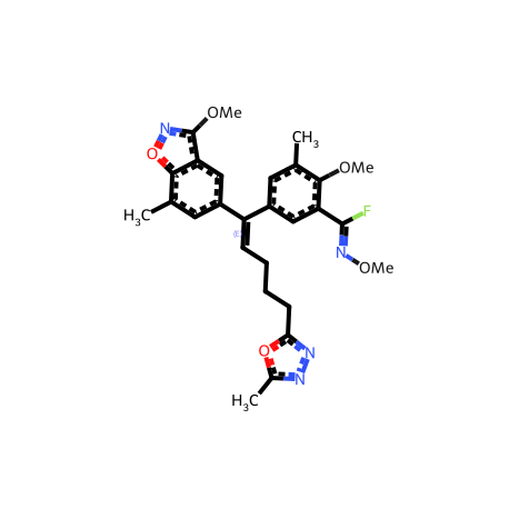 CON=C(F)c1cc(/C(=C\CCCc2nnc(C)o2)c2cc(C)c3onc(OC)c3c2)cc(C)c1OC